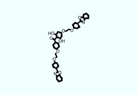 O=C(c1ccc(OCCOc2ccc(-c3nc4ccccc4o3)cc2)cc1O)c1ccc(OCCOc2ccc(-c3nc4ccccc4o3)cc2)cc1O